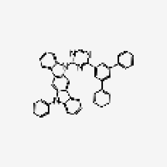 C1=CC(c2cc(-c3ccccc3)cc(-c3ncnc(-n4c5ccccc5c5cc6c(cc54)c4ccccc4n6-c4ccccc4)n3)c2)=CCC1